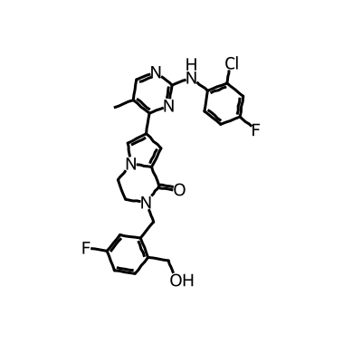 Cc1cnc(Nc2ccc(F)cc2Cl)nc1-c1cc2n(c1)CCN(Cc1cc(F)ccc1CO)C2=O